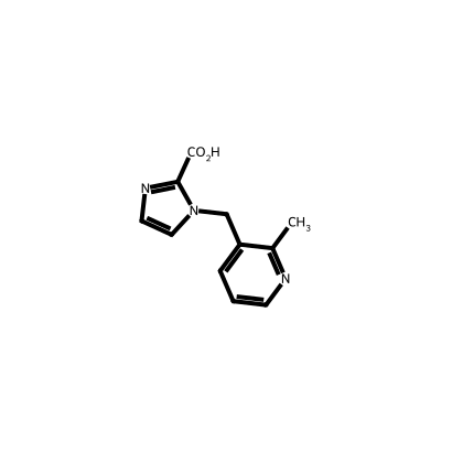 Cc1ncccc1Cn1ccnc1C(=O)O